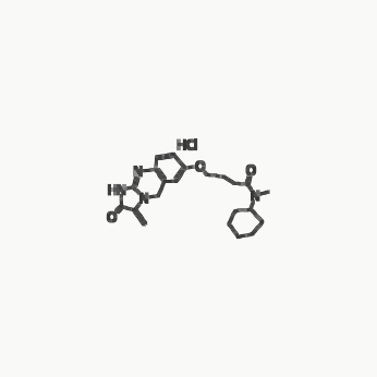 C=c1c(=O)[nH]c2n1Cc1cc(OCCCC(=O)N(C)C3CCCCC3)ccc1N=2.Cl